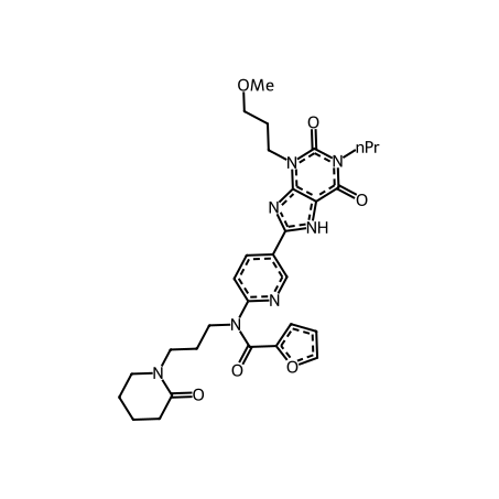 CCCn1c(=O)c2[nH]c(-c3ccc(N(CCCN4CCCCC4=O)C(=O)c4ccco4)nc3)nc2n(CCCOC)c1=O